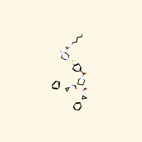 CCCCCCCCCCCCCCNC(=O)[C@H]1CN(S(=O)(=O)c2ccc(C(=O)N3C[C@@H](C(=O)N[C@H]4C[C@@H]4c4ccccc4)[C@H](C(=O)N[C@H]4C[C@@H]4c4ccccc4)C3)cc2)CCN1C(C)=O